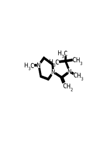 C=C(N1CCN(C)CC1)N(C)C(C)(C)C